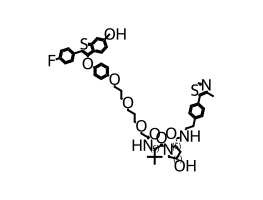 Cc1ncsc1-c1ccc(CCNC(=O)[C@@H]2C[C@H](O)CN2C(=O)[C@@H](NC(=O)COCCCOCCCOc2ccc(Oc3c(-c4ccc(F)cc4)sc4cc(O)ccc34)cc2)C(C)(C)C)cc1